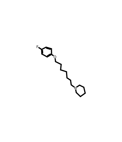 Fc1ccc(OCCCCCCCN2CCCCC2)cc1